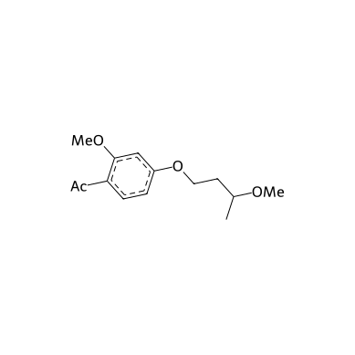 COc1cc(OCCC(C)OC)ccc1C(C)=O